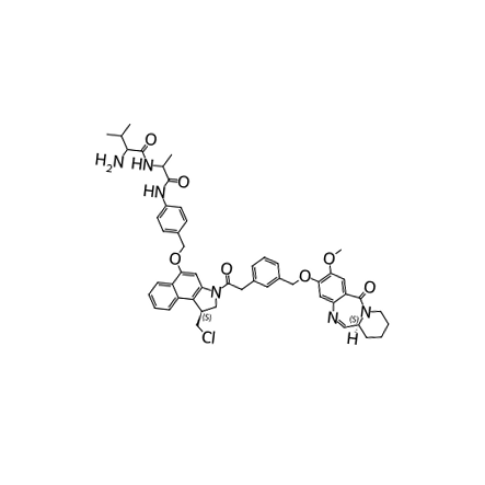 COc1cc2c(cc1OCc1cccc(CC(=O)N3C[C@@H](CCl)c4c3cc(OCc3ccc(NC(=O)C(C)NC(=O)C(N)C(C)C)cc3)c3ccccc43)c1)N=C[C@@H]1CCCCN1C2=O